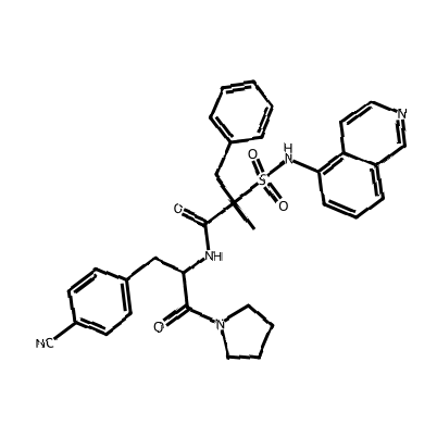 CC(Cc1ccccc1)(C(=O)NC(Cc1ccc(C#N)cc1)C(=O)N1CCCC1)S(=O)(=O)Nc1cccc2cnccc12